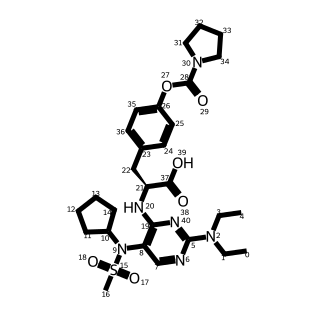 CCN(CC)c1ncc(N(C2CCCC2)S(C)(=O)=O)c(N[C@@H](Cc2ccc(OC(=O)N3CCCC3)cc2)C(=O)O)n1